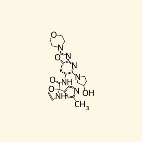 Cc1cc(C2(C(=O)Nc3cc4oc(N5CCOCC5)nc4nc3N3CCC(O)C3)NC=CO2)ccn1